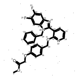 COC(=O)COc1ccc(COc2ncccc2-c2nc3cc(F)c(F)cc3n2Cc2ccccc2)cc1